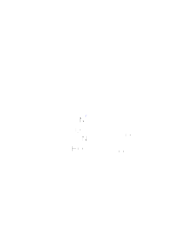 O=[N+](O)c1cc2c(cc1/C=N/c1ccccc1)OCO2